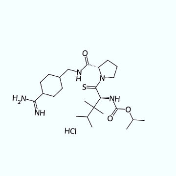 CC(C)OC(=O)N[C@H](C(=S)N1CCC[C@H]1C(=O)NCC1CCC(C(=N)N)CC1)C(C)(C)C(C)C.Cl